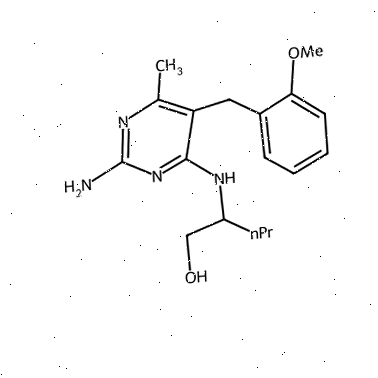 CCCC(CO)Nc1nc(N)nc(C)c1Cc1ccccc1OC